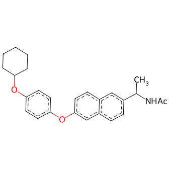 CC(=O)NC(C)c1ccc2cc(Oc3ccc(OC4CCCCC4)cc3)ccc2c1